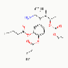 CCCOC(=O)OC(C)C(C)C(c1ccc(OC(=O)CCC(C)C)c(OC(=O)CCC(C)C)c1)[C@H](N)C(=O)O